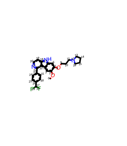 COc1cc2c(cc1OCCCN1CCCC1)[nH]c1ccnc(-c3ccc(C(F)F)cc3)c12